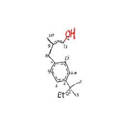 CCC(C)(C)c1ccc(CC(C)=CO)cc1